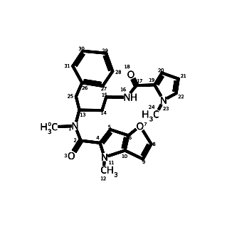 CN(C(=O)c1cc2occc2n1C)C(CCNC(=O)c1cccn1C)Cc1ccccc1